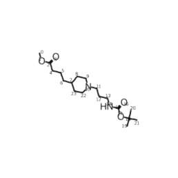 COC(=O)CCCC1CCN(CCCNC(=O)OC(C)(C)C)CC1